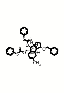 CC1=CC[C@]2(COC(=S)Sc3ccccc3)[C@H](C1)[C@@H]1[C@@H](CC[C@@H]1OCc1ccccc1)[C@@H]2OC(=S)Sc1ccccc1